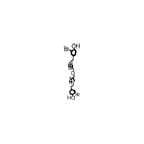 Oc1ccc(CCn2cc(COCc3cn(CCc4ccc(O)c(Br)c4)nn3)nn2)cc1Br